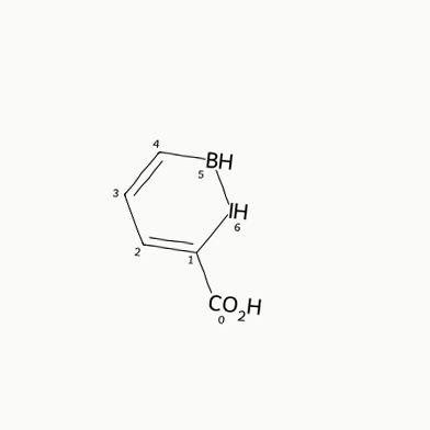 O=C(O)C1=CC=CB[IH]1